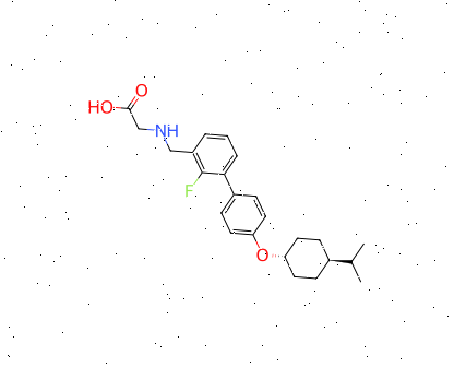 CC(C)[C@H]1CC[C@H](Oc2ccc(-c3cccc(CNCC(=O)O)c3F)cc2)CC1